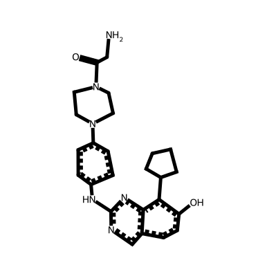 NCC(=O)N1CCN(c2ccc(Nc3ncc4ccc(O)c(C5CCCC5)c4n3)cc2)CC1